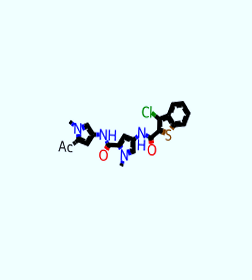 CC(=O)c1cc(NC(=O)c2cc(NC(=O)c3sc4ccccc4c3Cl)cn2C)cn1C